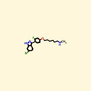 CNCCCCCCOc1ccc(-c2n[nH]c3cc(Br)ccc23)c(F)c1